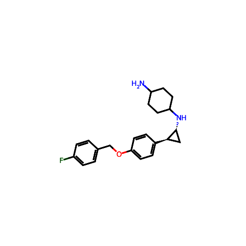 NC1CCC(N[C@@H]2C[C@H]2c2ccc(OCc3ccc(F)cc3)cc2)CC1